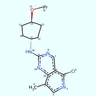 Cc1cnc(Cl)c2cnc(N[C@H]3CC[C@H](OC(C)C)CC3)nc12